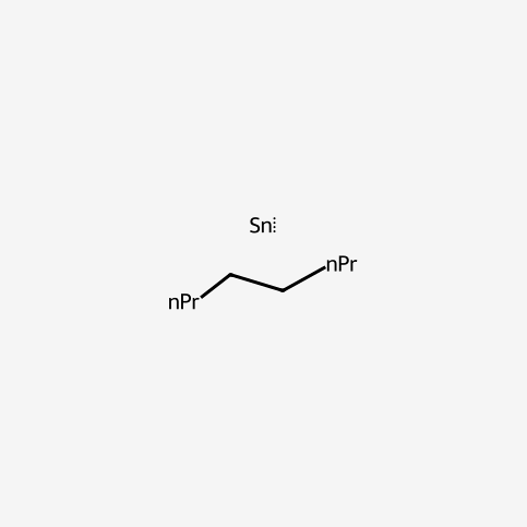 CCCCCCCC.[Sn]